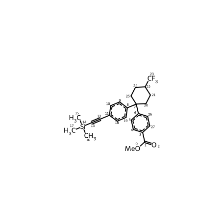 COC(=O)c1ccc(C2(c3ccc(C#C[Si](C)(C)C)cc3)CCC(C(F)(F)F)CC2)cc1